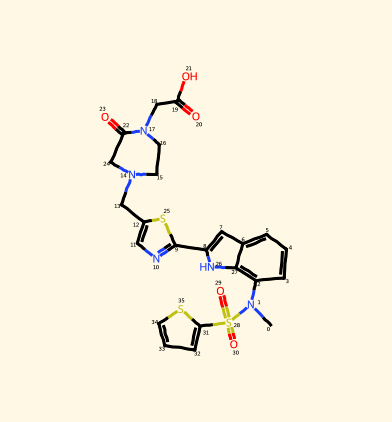 CN(c1cccc2cc(-c3ncc(CN4CCN(CC(=O)O)C(=O)C4)s3)[nH]c12)S(=O)(=O)c1cccs1